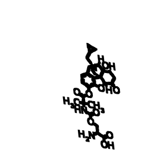 CC(C)(NC(=O)OCC(N)C(=O)O)C(=O)Oc1ccc2c3c1O[C@H]1C(=O)CC[C@@]4(O)[C@@H](C2)N(CC2CC2)CC[C@]314